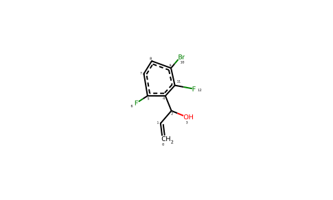 C=CC(O)c1c(F)ccc(Br)c1F